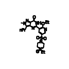 CCCc1c2nc(-c3cc(S(=O)(=O)N4CC[N+]([O-])(CC)CC4)cnc3OCC)[nH]c(=O)c2nn1C